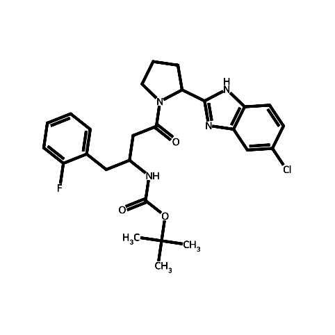 CC(C)(C)OC(=O)NC(CC(=O)N1CCCC1c1nc2cc(Cl)ccc2[nH]1)Cc1ccccc1F